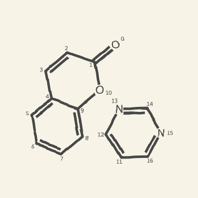 O=c1ccc2ccccc2o1.c1cncnc1